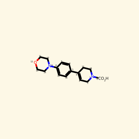 O=C(O)N1CC=C(c2ccc(N3CCOCC3)cc2)CC1